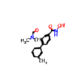 CN(C)C=O.Cc1cccc(-c2ccc(C(=O)NO)cc2)c1